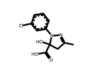 CC1=NN(c2cccc(Cl)c2)C(O)(C(=O)O)C1